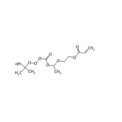 C=CC(=O)OCCOC(C)OC(=O)OOOC(C)(C)CCC